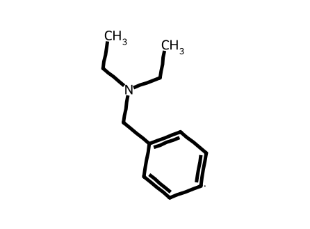 CCN(CC)Cc1cc[c]cc1